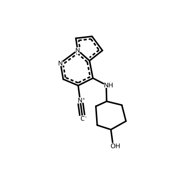 [C-]#[N+]c1cnn2cccc2c1NC1CCC(O)CC1